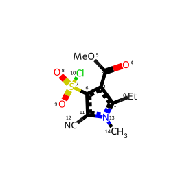 CCc1c(C(=O)OC)c(S(=O)(=O)Cl)c(C#N)n1C